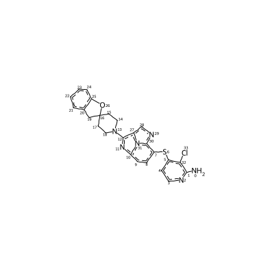 Nc1nccc(Sc2ccc3nc(N4CCC5(CC4)Cc4ccccc4O5)c4cnc2n34)c1Cl